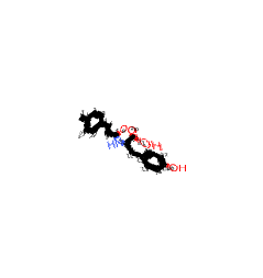 Cc1ccc(C=CC(=O)NC(Cc2ccc(O)cc2)C(=O)O)cc1